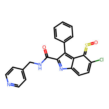 O=S=C1C(Cl)=CC=C2N=C(C(=O)NCc3ccncc3)C(c3ccccc3)=C21